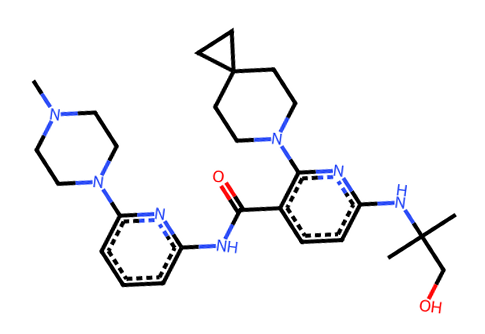 CN1CCN(c2cccc(NC(=O)c3ccc(NC(C)(C)CO)nc3N3CCC4(CC3)CC4)n2)CC1